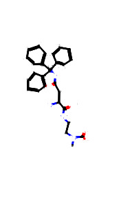 CN(CCNC(=O)C(N)CC(=O)NC(c1ccccc1)(c1ccccc1)c1ccccc1)C(=O)O